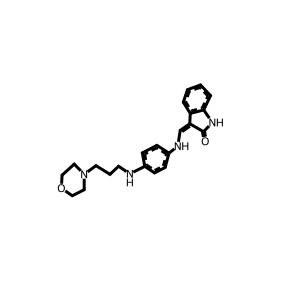 O=C1Nc2ccccc2C1=CNc1ccc(NCCCN2CCOCC2)cc1